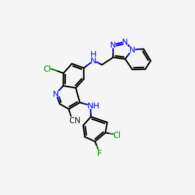 N#Cc1cnc2c(Cl)cc(NCc3nnn4ccccc34)cc2c1Nc1ccc(F)c(Cl)c1